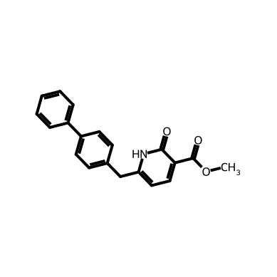 COC(=O)c1ccc(Cc2ccc(-c3ccccc3)cc2)[nH]c1=O